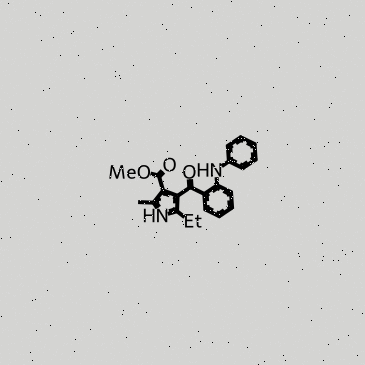 CCc1[nH]c(C)c(C(=O)OC)c1C(=O)c1ccccc1Nc1ccccc1